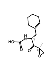 C[C@]1(C(=O)[C@H](CC2=CCCCC2)NC(=O)O)CO1